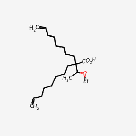 C=CCCCCCCC(CCCCCCC=C)(C(=O)O)C(C)OCC